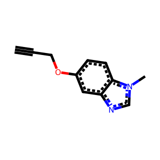 C#CCOc1ccc2c(c1)ncn2C